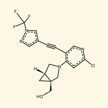 OC[C@@]12C[C@@H]1CN(c1cc(Cl)ncc1C#Cc1cnn(C(F)(F)F)c1)C2